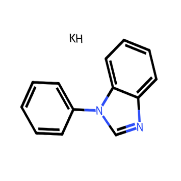 [KH].c1ccc(-n2cnc3ccccc32)cc1